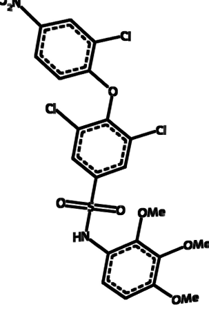 COc1ccc(NS(=O)(=O)c2cc(Cl)c(Oc3ccc([N+](=O)[O-])cc3Cl)c(Cl)c2)c(OC)c1OC